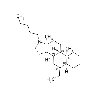 CCCCCN1CCC2[C@@H]3C[C@H](CC)[C@@H]4CCCC[C@]4(C)[C@H]3CCC21C